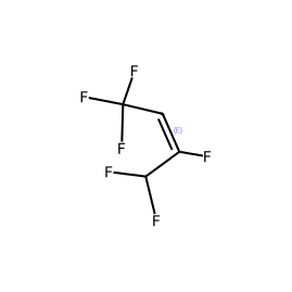 F/C(=C/C(F)(F)F)C(F)F